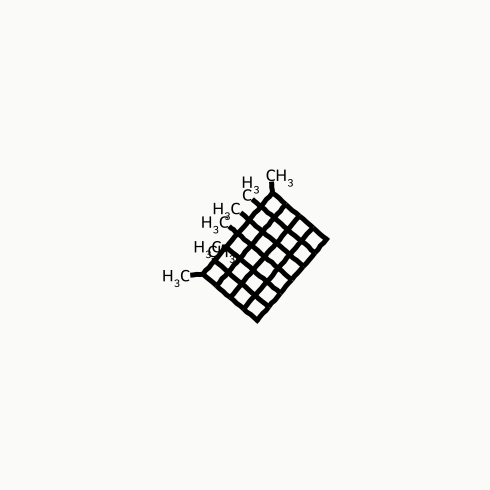 CC1C2C3C4CC5C6C7C8C9CC%10C%11C%12C(C)C%13(C)C%14(C)C%15(C)C%16(C)C1(C)C21C32C45C63C74C85C%109C%116C%12%13C%147C65C45C23C%161C%1575